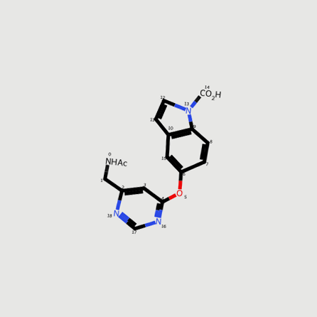 CC(=O)NCc1cc(Oc2ccc3c(ccn3C(=O)O)c2)ncn1